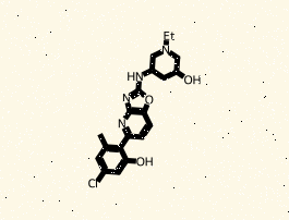 CCN1CC(O)CC(Nc2nc3nc(-c4c(C)cc(Cl)cc4O)ccc3o2)C1